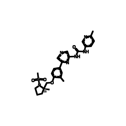 Cc1ccc(NC(=O)Nc2cncc(-c3ccc(OC[C@]4(C)CCCN4S(C)(=O)=O)c(C)c3)n2)cn1